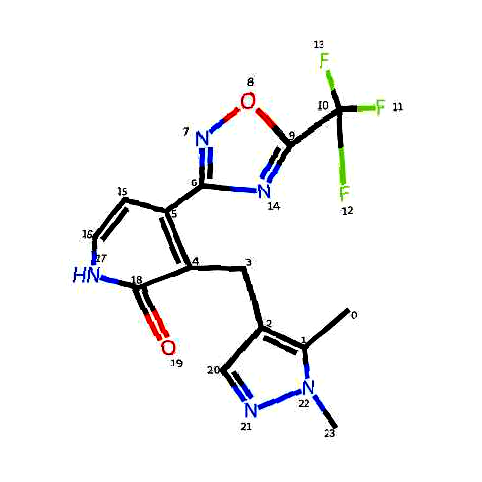 Cc1c(Cc2c(-c3noc(C(F)(F)F)n3)cc[nH]c2=O)cnn1C